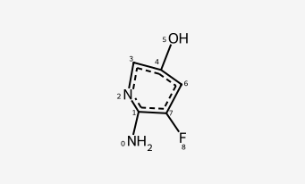 Nc1ncc(O)cc1F